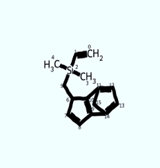 C=C[Si](C)(C)CC1C=CC2=C1C1=CC=C2C1